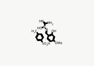 COc1ccc(C=NN(O)C(=N)N)c(O)c1.Cc1ccc(S(=O)(=O)O)cc1